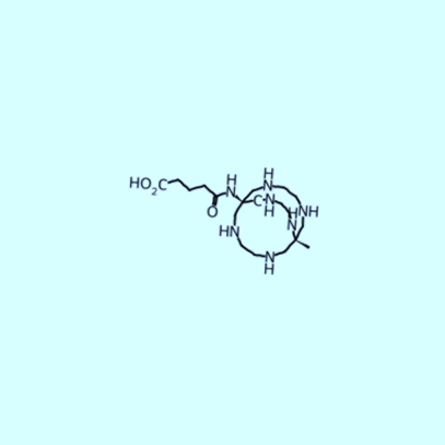 C[C@]12CNCCNC[C@](NC(=O)CCCC(=O)O)(CNCCNC1)CNCCN2